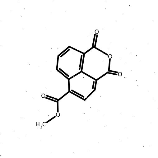 COC(=O)c1ccc2c3c(cccc13)C(=O)OC2=O